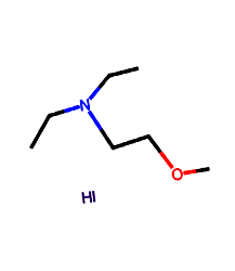 CCN(CC)CCOC.I